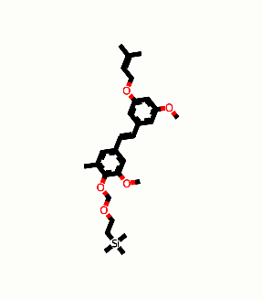 COc1cc(C=Cc2cc(C)c(OCOCC[Si](C)(C)C)c(OC)c2)cc(OCC=C(C)C)c1